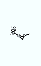 COc1c(F)cc2c(c(CCNCc3cccc(OCCCF)c3)cn2C)c1F